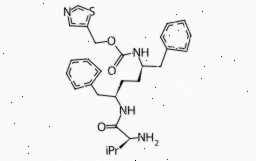 CC(C)[C@H](N)C(=O)N[C@H](CC[C@H](Cc1ccccc1)NC(=O)OCc1cncs1)Cc1ccccc1